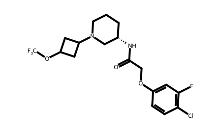 O=C(COc1ccc(Cl)c(F)c1)N[C@H]1CCCN(C2CC(OC(F)(F)F)C2)C1